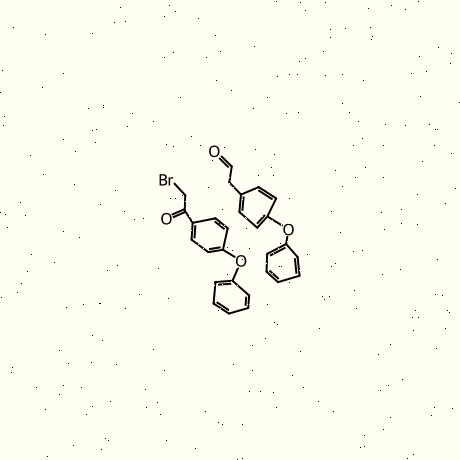 O=C(CBr)c1ccc(Oc2ccccc2)cc1.O=CCc1ccc(Oc2ccccc2)cc1